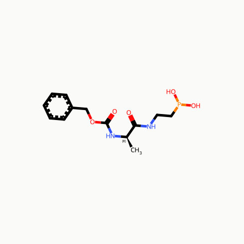 C[C@@H](NC(=O)OCc1ccccc1)C(=O)NCCP(O)O